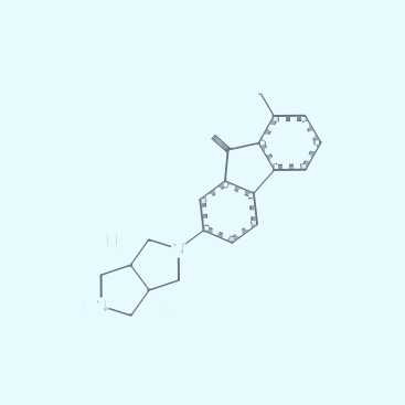 O=C1c2cc(N3C[C@H]4CNC[C@H]4C3)ccc2-c2cccc(I)c21